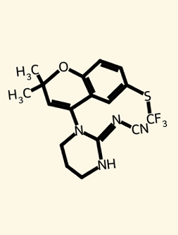 CC1(C)C=C(N2CCCNC2=NC#N)c2cc(SC(F)(F)F)ccc2O1